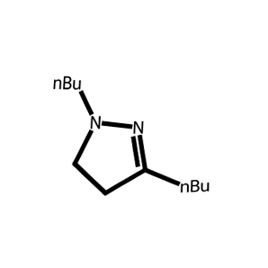 CCCCC1=NN(CCCC)CC1